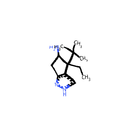 CCC1(C(C)(C)C)c2c[nH]nc2CC1N